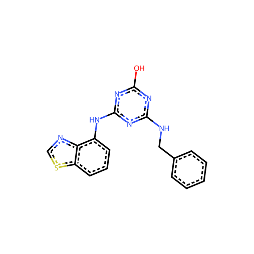 Oc1nc(NCc2ccccc2)nc(Nc2cccc3scnc23)n1